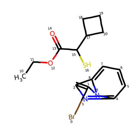 Brc1c2nc3cccc2n13.CCOC(=O)C(S)C1CCC1